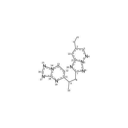 CCc1cnn2nc(CC(C)c3ccn4ncnc4n3)nc2c1